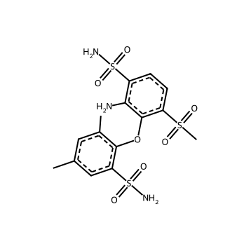 Cc1cc(C)c(Oc2c(S(C)(=O)=O)ccc(S(N)(=O)=O)c2N)c(S(N)(=O)=O)c1